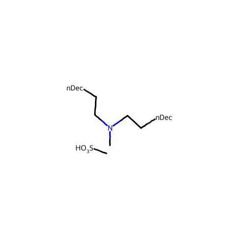 CCCCCCCCCCCCN(C)CCCCCCCCCCCC.CS(=O)(=O)O